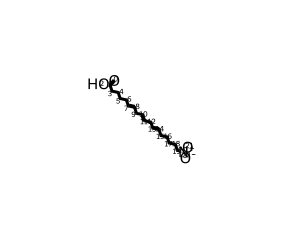 O=C(O)CCCCC=CCC=CCC=CCCCCC[N+](=O)[O-]